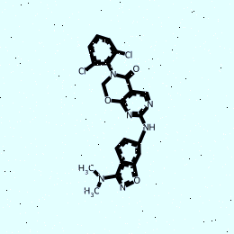 CN(C)c1noc2cc(Nc3ncc4c(n3)OCN(c3c(Cl)cccc3Cl)C4=O)ccc12